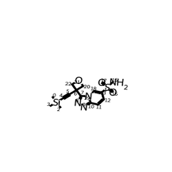 C[Si](C)(C)C#CC1(c2nnc3ccc(S(N)(=O)=O)cn23)COC1